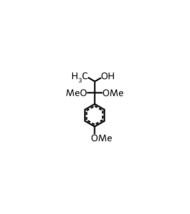 COc1ccc(C(OC)(OC)C(C)O)cc1